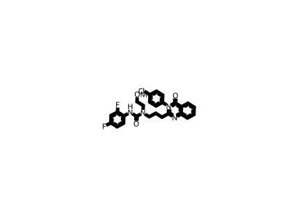 COCCN(CCCc1nc2ccccc2c(=O)n1-c1ccc(Cl)cc1)C(=O)Nc1ccc(F)cc1F